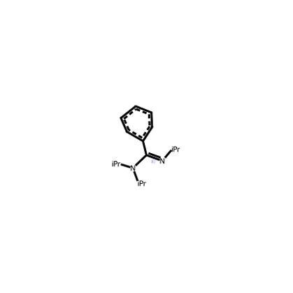 CC(C)/N=C(\c1ccccc1)N(C(C)C)C(C)C